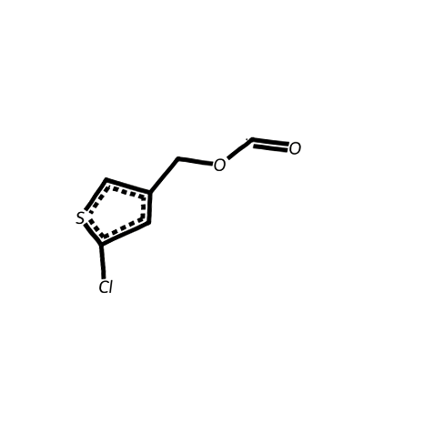 O=[C]OCc1csc(Cl)c1